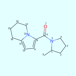 CC1CCCN1C(=O)c1ccc2n1CCCC2